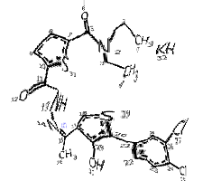 CCN(CC)C(=O)c1ccc(C(=O)N/N=C(/C)c2csc(-c3ccc(Cl)c(Cl)c3)c2O)s1.[KH]